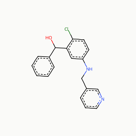 OC(c1ccccc1)c1cc(NCc2cccnc2)ccc1Cl